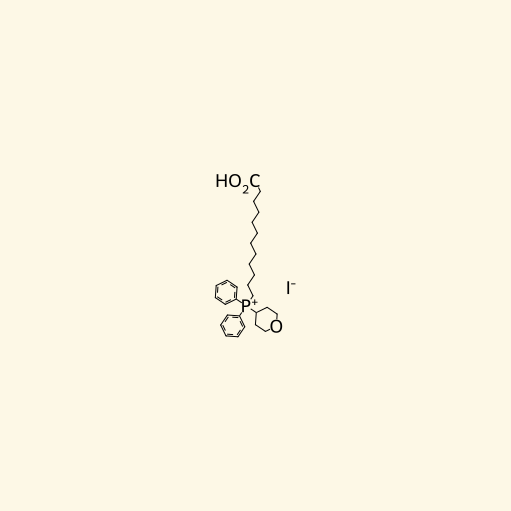 O=C(O)CCCCCCCCCCC[P+](c1ccccc1)(c1ccccc1)C1CCOCC1.[I-]